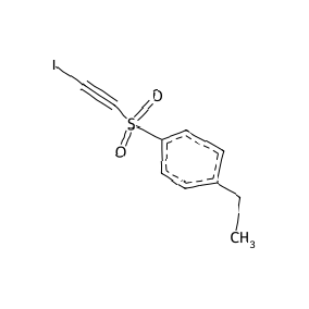 CCc1ccc(S(=O)(=O)C#CI)cc1